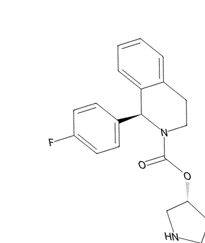 O=C(O[C@@H]1CCNC1)N1CCc2ccccc2[C@@H]1c1ccc(F)cc1